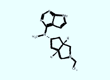 CN(c1ncnc2[nH]ccc12)[C@@H]1C[C@@H]2CN(CC(F)(F)F)C[C@@H]2C1